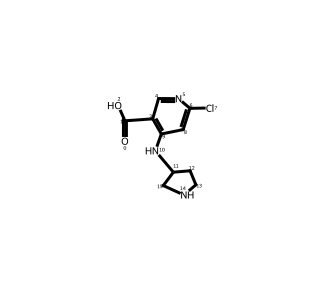 O=C(O)c1cnc(Cl)cc1NC1CCNC1